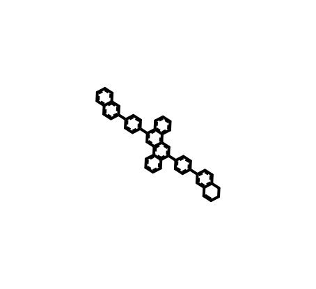 C1=Cc2cc(-c3ccc(-c4cc5c6ccccc6c(-c6ccc(-c7ccc8ccccc8c7)cc6)cc5c5ccccc45)cc3)ccc2CC1